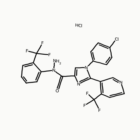 Cl.NN(C(=O)c1cn(-c2ccc(Cl)cc2)c(-c2cnccc2C(F)(F)F)n1)c1ccccc1C(F)(F)F